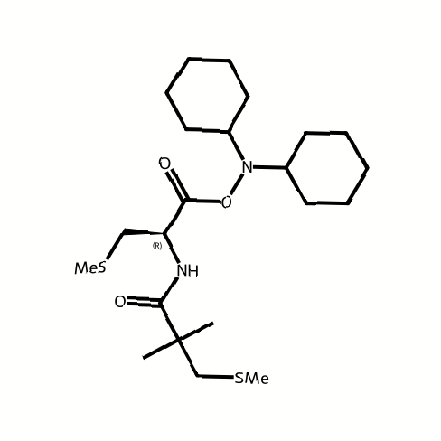 CSC[C@H](NC(=O)C(C)(C)CSC)C(=O)ON(C1CCCCC1)C1CCCCC1